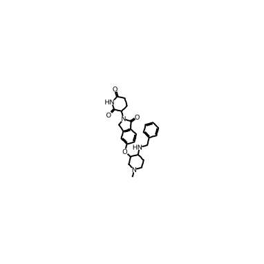 CN1CCC(NCc2ccccc2)C(Oc2ccc3c(c2)CN(C2CCC(=O)NC2=O)C3=O)C1